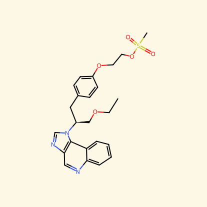 CCOC[C@H](Cc1ccc(OCCOS(C)(=O)=O)cc1)n1cnc2cnc3ccccc3c21